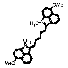 COc1ccc2c3c(cccc13)C(/C=C/C=C/C=c1/c3cccc4c(OC)ccc(c43)n1C)=[N+]2C